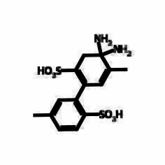 CC1=CC(c2cc(C)ccc2S(=O)(=O)O)=C(S(=O)(=O)O)CC1(N)N